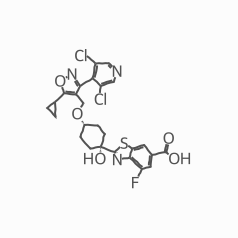 O=C(O)c1cc(F)c2nc([C@]3(O)CC[C@@H](OCc4c(-c5c(Cl)cncc5Cl)noc4C4CC4)CC3)sc2c1